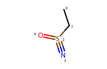 CCS(#N)=O